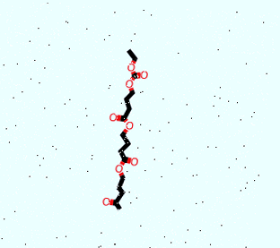 CCOC(=O)OCCCC(=O)OCCCC(=O)OCCCC(C)=O